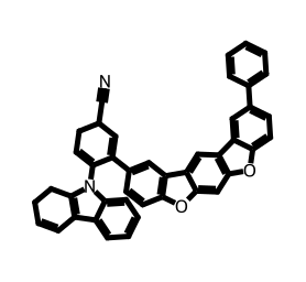 N#CC1C=C(c2ccc3oc4cc5oc6ccc(-c7ccccc7)cc6c5cc4c3c2)C(n2c3c(c4ccccc42)C=CCC3)=CC1